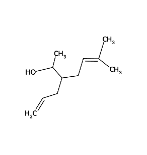 C=CCC(CC=C(C)C)C(C)O